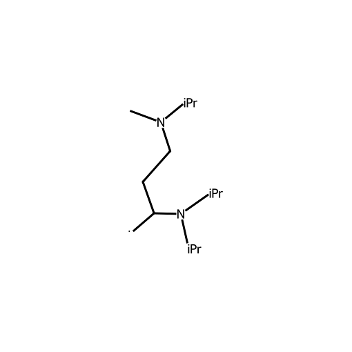 [CH2]C(CCN(C)C(C)C)N(C(C)C)C(C)C